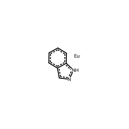 [Eu].c1ccc2[nH]ncc2c1